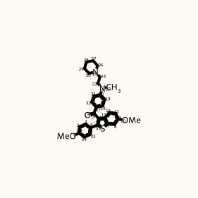 COc1ccc(-c2sc3cc(OC)ccc3c2C(=O)c2ccc(N(C)CCN3CCCCC3)cc2)cc1